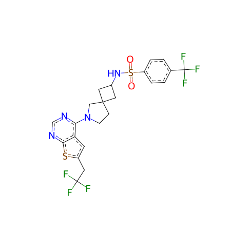 O=S(=O)(NC1CC2(CCN(c3ncnc4sc(CC(F)(F)F)cc34)C2)C1)c1ccc(C(F)(F)F)cc1